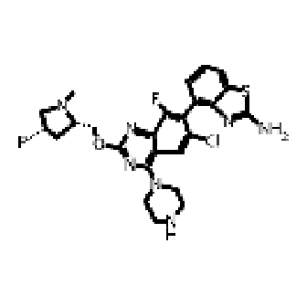 CN1C[C@@H](F)C[C@H]1COc1nc(N2CCNCC2)c2cc(Cl)c(-c3cccc4sc(N)nc34)c(F)c2n1